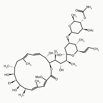 C/C=C/[C@H]1O[C@@](O)([C@@H](C)[C@H](O)[C@H](C)[C@H]2OC(=O)/C(OC)=C/C(C)=C/[C@@H](C)[C@@H](O)[C@@H](CC)[C@@H](O)[C@H](C)C/C(C)=C/C=C/[C@@H]2O)C[C@@H](O[C@@H]2C[C@H](OC(C)=O)[C@@H](OC(N)=O)[C@H](C)O2)[C@@H]1C